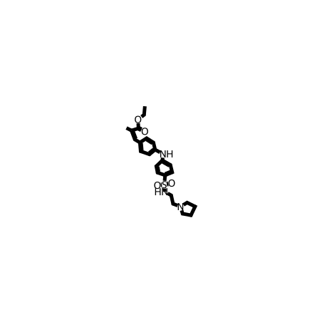 CCOC(=O)C(C)=Cc1ccc(Nc2ccc(S(=O)(=O)NCCN3CCCC3)cc2)cc1